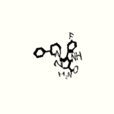 NC(=O)c1cnc(N2CCCC(c3ccccc3)C2)c2c1[nH]c1ccc(F)cc12